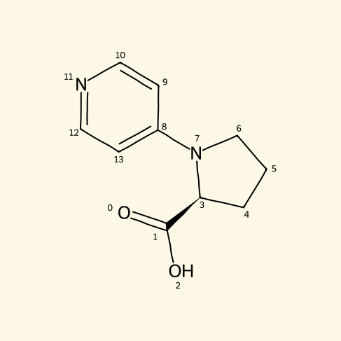 O=C(O)[C@@H]1CCCN1c1ccncc1